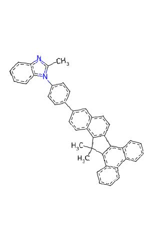 Cc1nc2ccccc2n1-c1ccc(-c2ccc3c4c(ccc3c2)-c2c(c3ccccc3c3ccccc23)C4(C)C)cc1